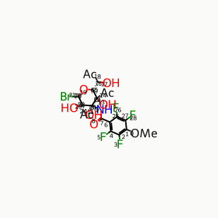 COc1c(F)c(F)c(C(=O)N[C@]2(O)[C@](O)(C(C)=O)[C@@H](C(O)C(C)=O)O[C@H](Br)[C@@]2(O)C(C)=O)c(F)c1F